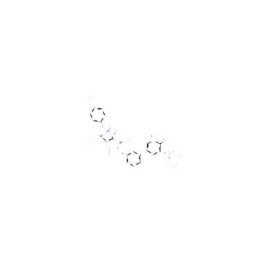 Cc1ccc(NC(=O)c2cc([S+](C)[O-])n(-c3ccc(F)cc3)n2)cc1-c1cc(N2CCOCC2)c(=O)n(C)c1